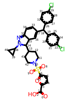 O=C(O)c1ccc(S(=O)(=O)N2CCC(C3C4C=C(C(c5ccc(Cl)cc5)c5ccc(Cl)cc5)C=CC4=NN3C3CC3)CC2)o1